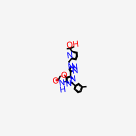 Cc1cccc(-c2nc3c(c(-c4cn(Cc5cccc(C(C)(C)O)n5)nn4)n2)OCC(=O)N3)c1